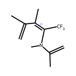 C=C(C)/C(C)=C(\N(C)C(=C)C)C(F)(F)F